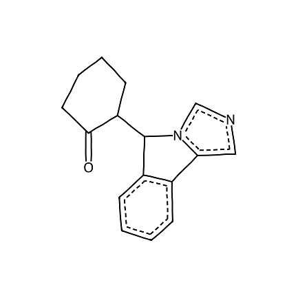 O=C1CCCCC1C1c2ccccc2-c2cncn21